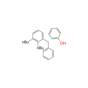 CCCCc1cccc(Cc2ccccc2)c1CCCC.Oc1ccccc1